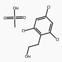 CS(=O)(=O)O.OCCc1c(Cl)cc(Cl)cc1Cl